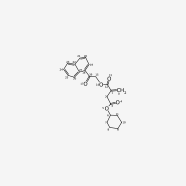 C=C(CC(=O)OC1CCCCC1)C(=O)OCC(=O)c1cccc2ccccc12